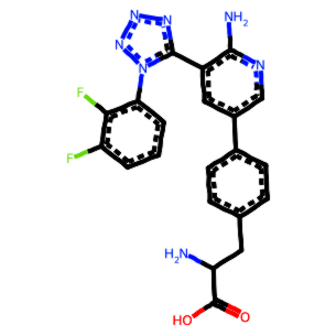 Nc1ncc(-c2ccc(CC(N)C(=O)O)cc2)cc1-c1nnnn1-c1cccc(F)c1F